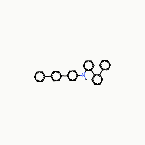 CN(c1ccc(-c2ccc(-c3ccccc3)cc2)cc1)c1ccccc1-c1ccccc1-c1ccccc1